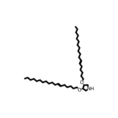 CCCCCCCCCCCC=CCCCCCO[C@@H]1CNC[C@H]1OCCCCCC=CCCCCCCCCCCC